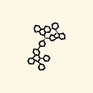 c1ccc(-c2c(-c3ccccc3)c3cc(-c4ccc(N(c5ccc6c7ccccc7n(-c7ccccc7)c6c5)c5cc6ccccc6c6ccccc56)cc4)ccc3c3ccccc23)cc1